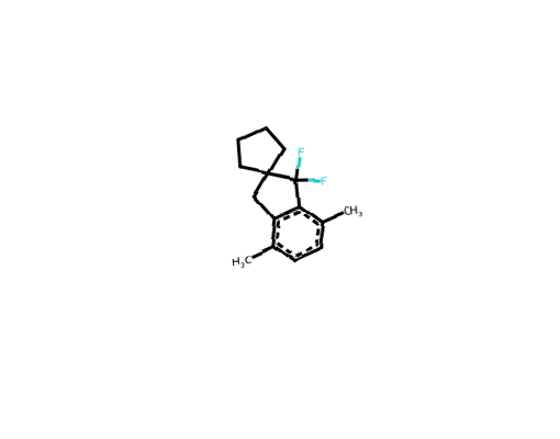 Cc1ccc(C)c2c1CC1(CCCC1)C2(F)F